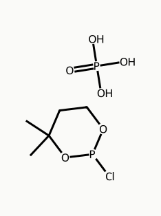 CC1(C)CCOP(Cl)O1.O=P(O)(O)O